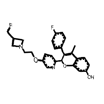 CC1=C(c2ccc(F)cc2)C(c2ccc(OCCN3CC(CF)C3)cn2)Oc2cc(O)ccc21